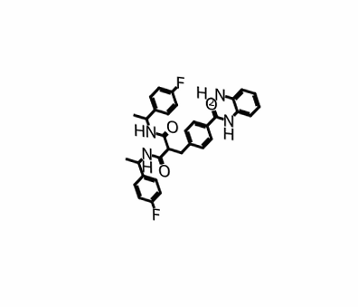 CC(NC(=O)C(Cc1ccc(C(=O)Nc2ccccc2N)cc1)C(=O)NC(C)c1ccc(F)cc1)c1ccc(F)cc1